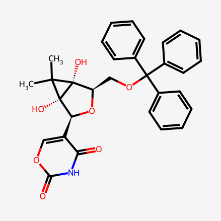 CC1(C)[C@]2(O)[C@H](c3coc(=O)[nH]c3=O)O[C@H](COC(c3ccccc3)(c3ccccc3)c3ccccc3)[C@]12O